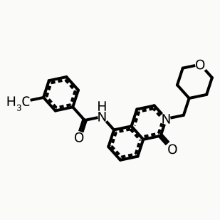 Cc1cccc(C(=O)Nc2cccc3c(=O)n(CC4CCOCC4)ccc23)c1